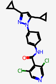 O=C(Nc1ccc(-n2nc(C3CC3)cc2C2CC2)cc1)c1c(Cl)cncc1Cl